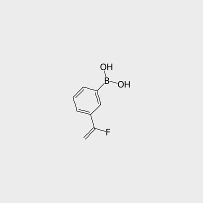 C=C(F)c1cccc(B(O)O)c1